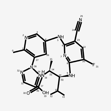 Cc1ncc(Nc2nc(N[C@@H](C(C)C)[C@H](C)NC(=O)O)c(F)cc2C#N)cc1-n1nccn1